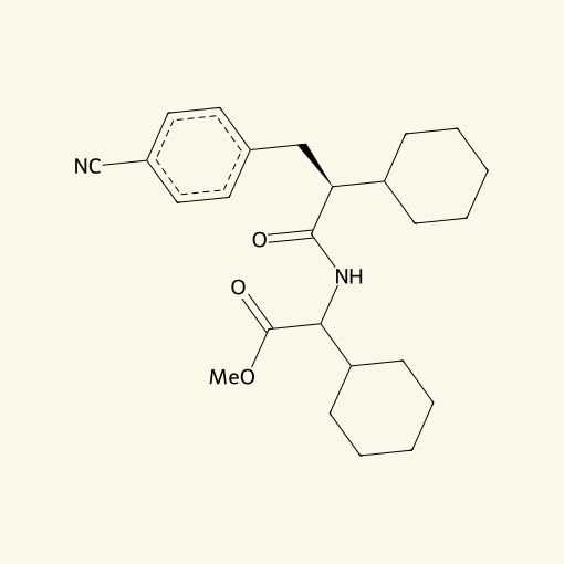 COC(=O)C(NC(=O)[C@@H](Cc1ccc(C#N)cc1)C1CCCCC1)C1CCCCC1